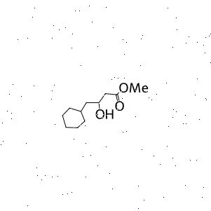 COC(=O)CC(O)CC1CCCCC1